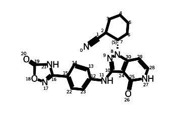 N#CC1CCCC[C@@H]1n1nc(Nc2ccc(-c3noc(=O)[nH]3)cc2)c2c(=O)[nH]ccc21